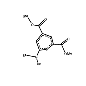 CCN(C(C)=O)c1cc(C(=O)OC(C)(C)C)cc(C(=O)OC)n1